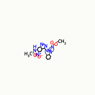 CCNc1cc2ncnc(NCc3ccccc3N3CCN(C(=O)OCC)CC3)c2cc1[N+](=O)[O-]